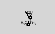 CCC(Cc1cccc(OCc2c(C)cccc2C)c1)C(=O)O